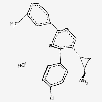 Cl.N[C@@H]1C[C@H]1c1ccc(-c2cccc(C(F)(F)F)c2)nc1-c1ccc(Cl)cc1